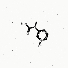 CN(C(N)=O)c1ccc[n+]([O-])c1